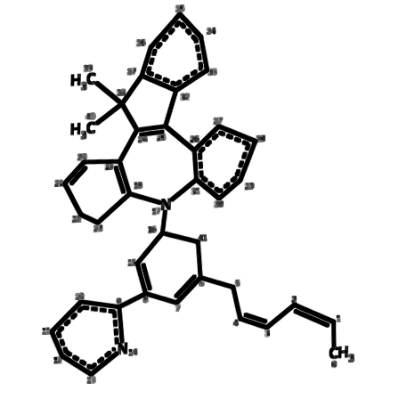 C/C=C\C=C/CC1=CC(c2ccccn2)=CC(N2C3=C(C=CCC3)C3=C(c4ccccc42)c2ccccc2C3(C)C)C1